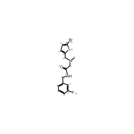 CN(CC(=O)NCc1cccc(F)c1)Cc1ccc(Br)s1